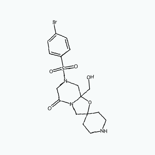 O=C1CN(S(=O)(=O)c2ccc(Br)cc2)CC2(CO)OC3(CCNCC3)CN12